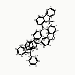 CC1(C)c2ccccc2-c2cccc(N(c3ccc(-c4ccccc4)cc3)c3cccc4oc5ccc(-c6ccc7c8ccccc8n(-c8ccccc8)c7c6)cc5c34)c21